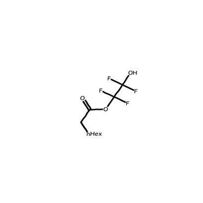 CCCCCCCC(=O)OC(F)(F)C(O)(F)F